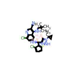 BC1=C(C(B)(Nc2cc(Cl)c3ncc(C#N)c(NCC(C)(C)C)c3c2)c2c(F)cccc2Cl)NNN1C1(C)CC1